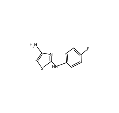 Nc1[c]sc(Nc2ccc(F)cc2)n1